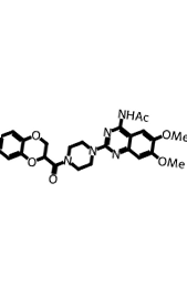 COc1cc2nc(N3CCN(C(=O)C4COc5ccccc5O4)CC3)nc(NC(C)=O)c2cc1OC